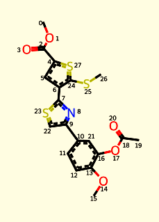 COC(=O)c1cc(-c2nc(-c3ccc(OC)c(OC(C)=O)c3)cs2)c(SC)s1